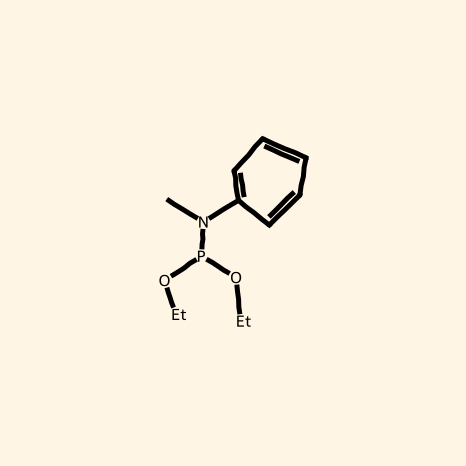 CCOP(OCC)N(C)c1ccccc1